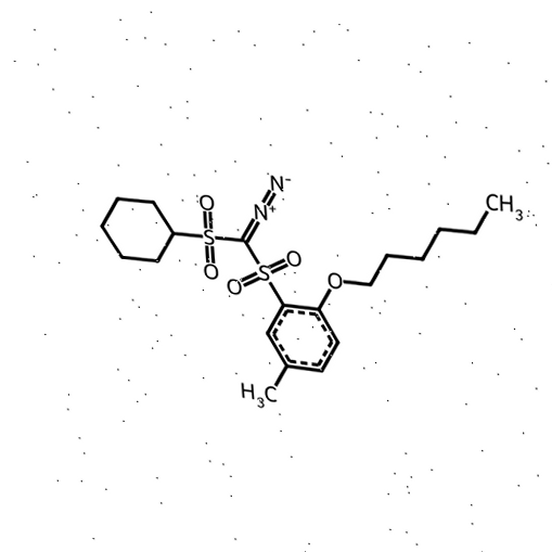 CCCCCCOc1ccc(C)cc1S(=O)(=O)C(=[N+]=[N-])S(=O)(=O)C1CCCCC1